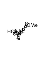 COC(=O)c1ccc(-c2ccc(-c3nc4cc(O[C@@H]5CO[C@H]6[C@@H]5OC[C@H]6O)n(COCC[Si](C)(C)C)c4cc3F)cc2)cc1